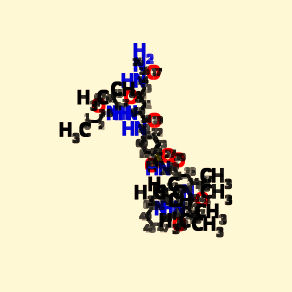 CCCC(=O)NC(C(=O)N[C@@H](CCCNC(N)=O)C(=O)Nc1ccc(S(=O)(=O)NC(=O)/C(C)=C/[C@H](C(C)C)N(C)C(=O)C(NC(=O)[C@H]2CCCCN2C(C)C)C(C)(C)C)cc1)C(C)C